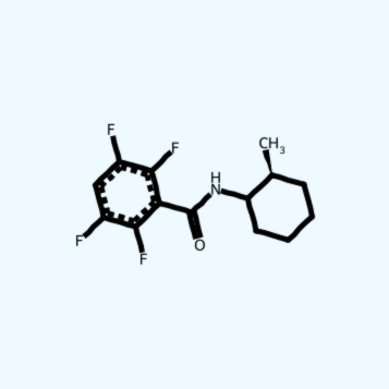 C[C@H]1CCCCC1NC(=O)c1c(F)c(F)cc(F)c1F